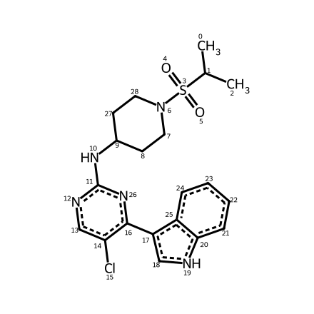 CC(C)S(=O)(=O)N1CCC(Nc2ncc(Cl)c(-c3c[nH]c4ccccc34)n2)CC1